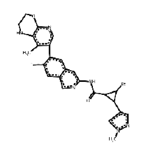 CCC1C(C(=O)Nc2cc3cc(-c4cnc5c(c4C)NCCO5)c(F)cc3cn2)C1c1cnn(C)c1